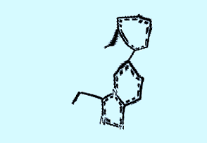 CCc1nnc2ccc(-c3ccccc3C)cn12